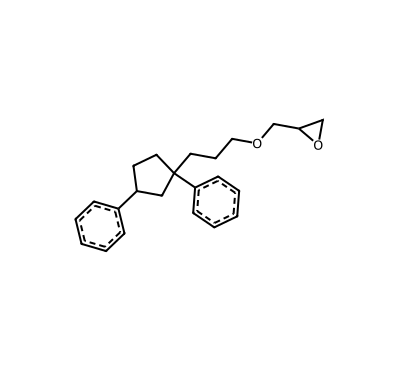 c1ccc(C2CCC(CCCOCC3CO3)(c3ccccc3)C2)cc1